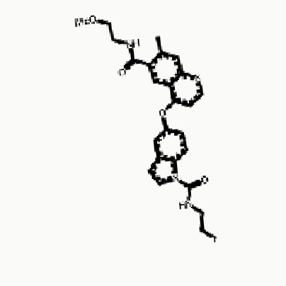 COCCNC(=O)c1cc2c(Oc3ccc4c(ccn4C(=O)NCCF)c3)ccnc2cc1C